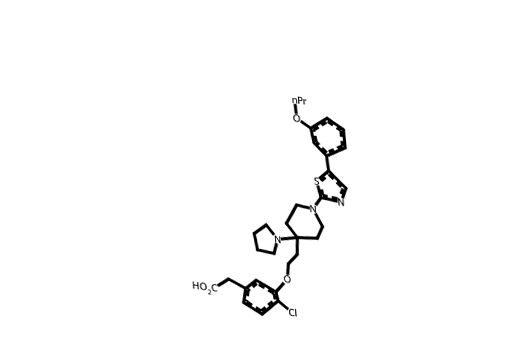 CCCOc1cccc(-c2cnc(N3CCC(CCOc4cc(CC(=O)O)ccc4Cl)(N4CCCC4)CC3)s2)c1